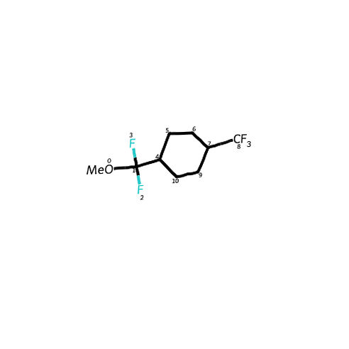 COC(F)(F)C1CCC(C(F)(F)F)CC1